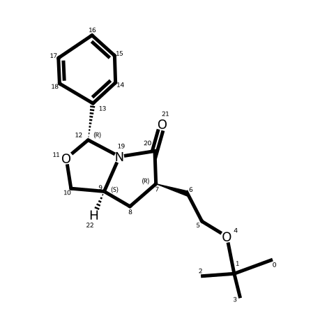 CC(C)(C)OCC[C@H]1C[C@H]2CO[C@H](c3ccccc3)N2C1=O